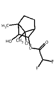 CC1(C)C2CCC1(C)C(O)C2OC(=O)C(F)F